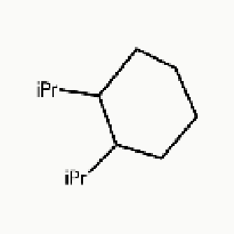 CC(C)C1CCCCC1C(C)C